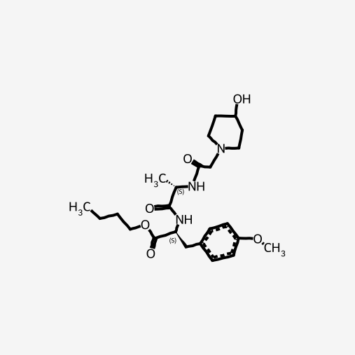 CCCCOC(=O)[C@H](Cc1ccc(OC)cc1)NC(=O)[C@H](C)NC(=O)CN1CCC(O)CC1